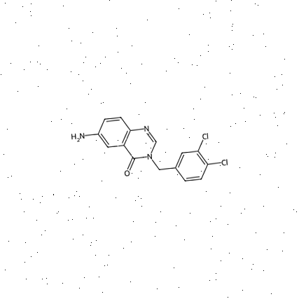 Nc1ccc2ncn(Cc3ccc(Cl)c(Cl)c3)c(=O)c2c1